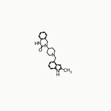 Cc1cc2c(CN3CCC(N4Cc5ccccc5NC4=O)CC3)cccc2[nH]1